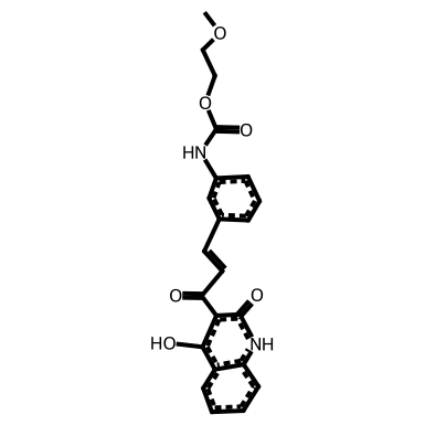 COCCOC(=O)Nc1cccc(C=CC(=O)c2c(O)c3ccccc3[nH]c2=O)c1